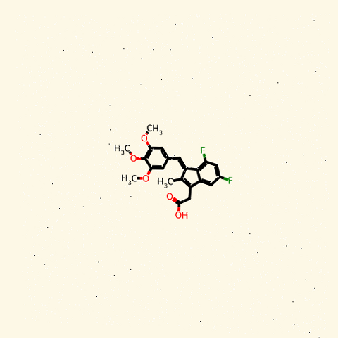 COc1cc(C=C2C(C)=C(CC(=O)O)c3cc(F)cc(F)c32)cc(OC)c1OC